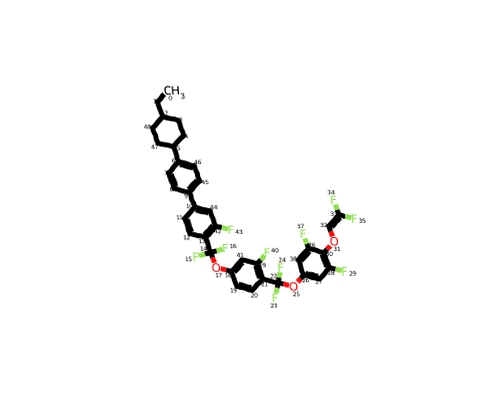 CCC1CCC(c2ccc(-c3ccc(C(F)(F)Oc4ccc(C(F)(F)Oc5cc(F)c(OC=C(F)F)c(F)c5)c(F)c4)c(F)c3)cc2)CC1